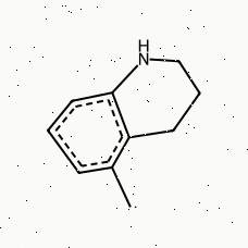 [CH2]c1cccc2c1CCCN2